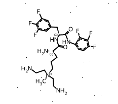 C[N+](CCN)(CCN)CCC[C@H](N)C(=O)N[C@@H](Cc1cc(F)c(F)c(F)c1)C(=O)Nc1ccc(F)c(F)c1F